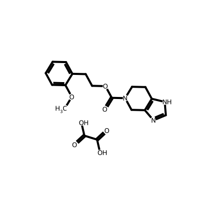 COc1ccccc1CCOC(=O)N1CCc2[nH]cnc2C1.O=C(O)C(=O)O